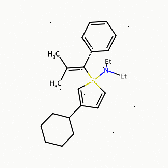 CCN(CC)S1(C(=C(C)C)c2ccccc2)C=CC(C2CCCCC2)=C1